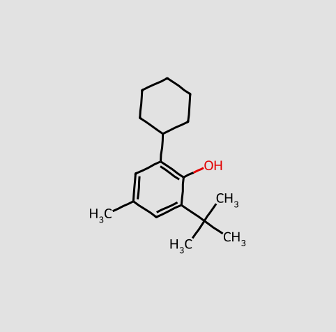 Cc1cc(C2CCCCC2)c(O)c(C(C)(C)C)c1